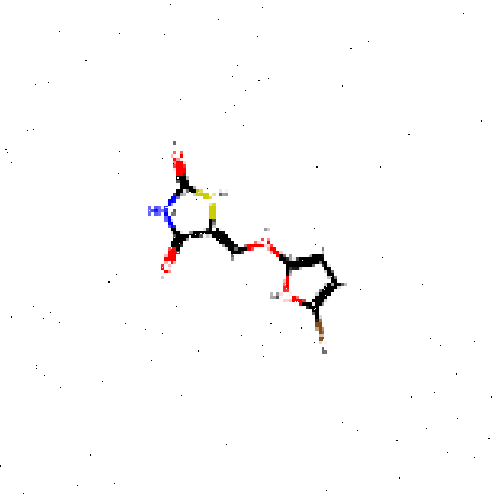 O=C1NC(=O)C(=COc2ccc(Br)o2)S1